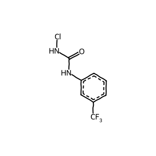 O=C(NCl)Nc1cccc(C(F)(F)F)c1